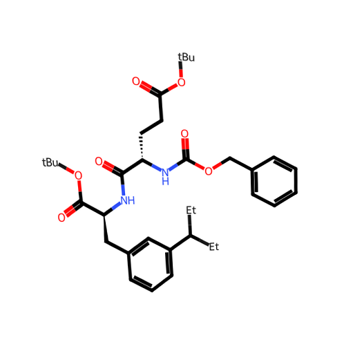 CCC(CC)c1cccc(C[C@H](NC(=O)[C@H](CCC(=O)OC(C)(C)C)NC(=O)OCc2ccccc2)C(=O)OC(C)(C)C)c1